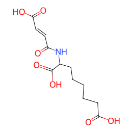 O=C(O)C=CC(=O)NC(CCCCCC(=O)O)C(=O)O